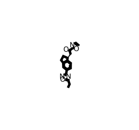 CCc1nc(-c2ccc3c(c2)CC[C@H]3CC(=O)c2ncco2)no1